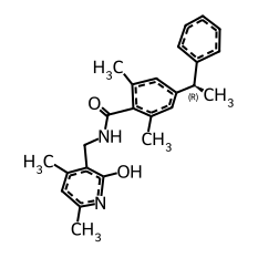 Cc1cc(C)c(CNC(=O)c2c(C)cc([C@H](C)c3ccccc3)cc2C)c(O)n1